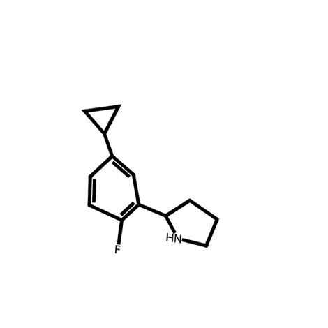 Fc1ccc(C2CC2)cc1C1CCCN1